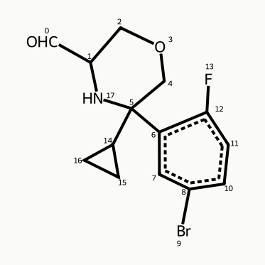 O=CC1COCC(c2cc(Br)ccc2F)(C2CC2)N1